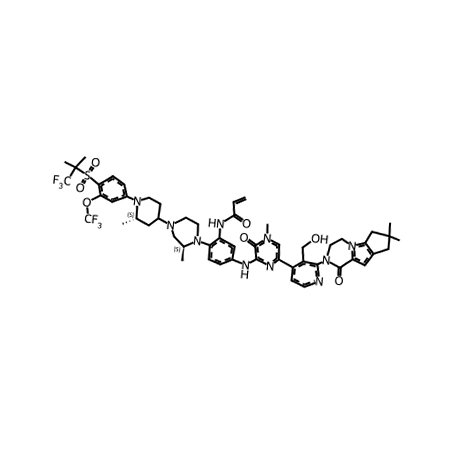 C=CC(=O)Nc1cc(Nc2nc(-c3ccnc(N4CCn5c(cc6c5CC(C)(C)C6)C4=O)c3CO)cn(C)c2=O)ccc1N1CCN(C2CCN(c3ccc(S(=O)(=O)C(C)(C)C(F)(F)F)c(OC(F)(F)F)c3)[C@@H](C)C2)C[C@@H]1C